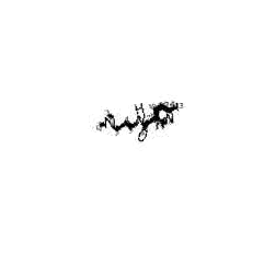 CN(C)CCCNC(=O)c1ccc([124I])nn1